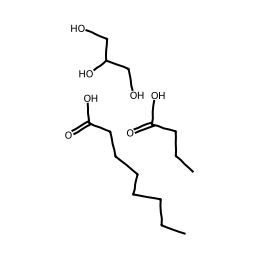 CCCC(=O)O.CCCCCCCC(=O)O.OCC(O)CO